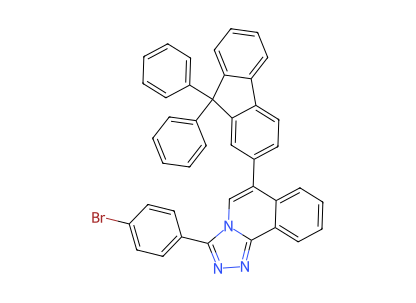 Brc1ccc(-c2nnc3c4ccccc4c(-c4ccc5c(c4)C(c4ccccc4)(c4ccccc4)c4ccccc4-5)cn23)cc1